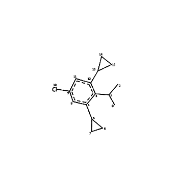 CC(C)c1c(C2CC2)cc(Cl)cc1C1CC1